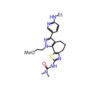 CCNc1ccc(-c2nn(CCOC)c3c2CCCc2nc(NC(=O)N(C)C)sc2-3)cn1